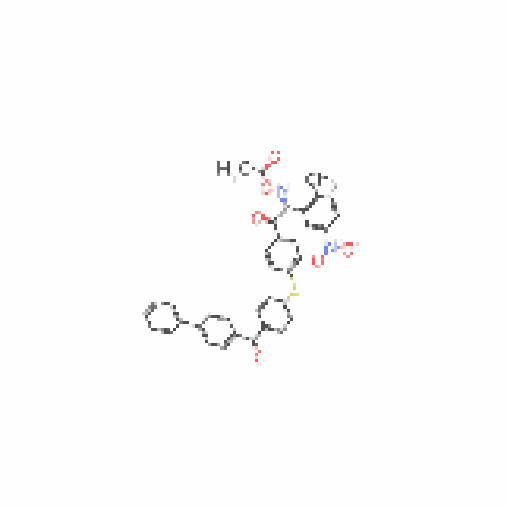 CC(=O)O/N=C(\C(=O)c1ccc(Sc2ccc(C(=O)c3ccc(-c4ccccc4)cc3)cc2)cc1)c1cc([N+](=O)[O-])ccc1C